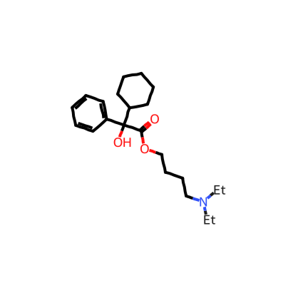 CCN(CC)CCCCOC(=O)C(O)(c1ccccc1)C1CCCCC1